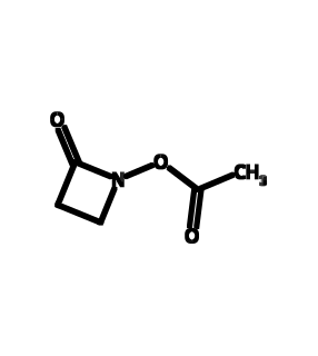 CC(=O)ON1CCC1=O